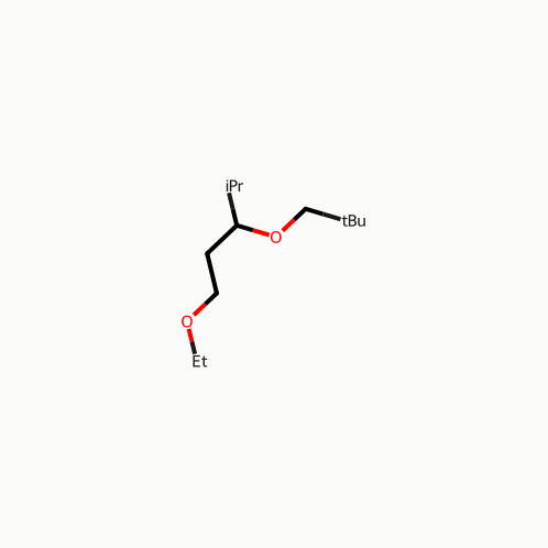 CCOCCC(OCC(C)(C)C)C(C)C